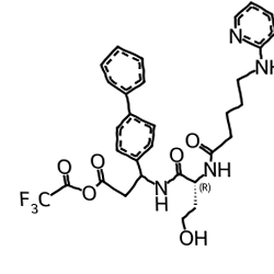 O=C(CCCCNc1ccccn1)N[C@H](CCO)C(=O)NC(CC(=O)OC(=O)C(F)(F)F)c1ccc(-c2ccccc2)cc1